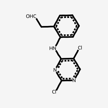 O=CCc1ccccc1Nc1nc(Cl)ncc1Cl